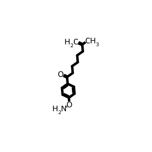 C=C(C)CCCCCC(=O)c1ccc(ON)cc1